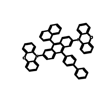 c1ccc(-c2ccc(-c3c4cc(N5c6ccccc6Oc6ccccc65)ccc4c(-c4cccc5ccccc45)c4cc(N5c6ccccc6Oc6ccccc65)ccc34)cc2)cc1